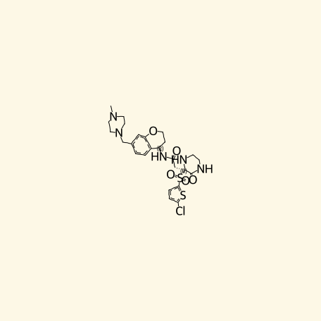 CN1CCN(Cc2ccc3c(c2)OCC[C@H]3NC(=O)C[C@]2(S(=O)(=O)c3ccc(Cl)s3)NCCNC2=O)CC1